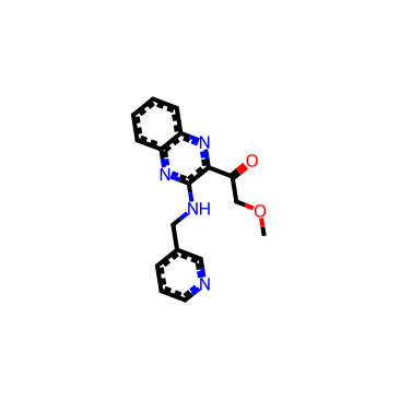 COCC(=O)c1nc2ccccc2nc1NCc1cccnc1